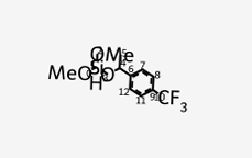 CO[SiH](OC)OC(C)c1ccc(C(F)(F)F)cc1